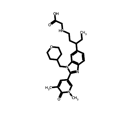 CCC(CCNCC(=O)O)c1ccc2nc(-c3cc(C)c(=O)n(C)c3)n(CC3CCOCC3)c2c1